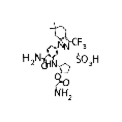 CC1(C)CCc2c(C(F)(F)F)nn(-c3ccc(C(N)=O)c(NC4CCCC4OC(=O)CN)c3)c2C1.CS(=O)(=O)O